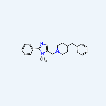 Cn1c(CN2CCC(Cc3ccccc3)CC2)cnc1-c1ccccc1